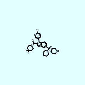 O=C(c1cc2cc(C(=O)[N+]3(C4CCNCC4)CCCCC3)ccc2n1-c1ccc(Cl)nc1)N1CCC(F)(F)CC1